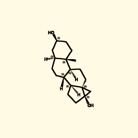 C[C@]12CC[C@H](O)C[C@@H]1CC[C@@H]1[C@@H]2CC[C@]23C[C@]2(O)CC[C@@H]13